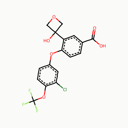 O=C(O)c1ccc(Oc2ccc(OC(F)(F)F)c(Cl)c2)c(C2(O)COC2)c1